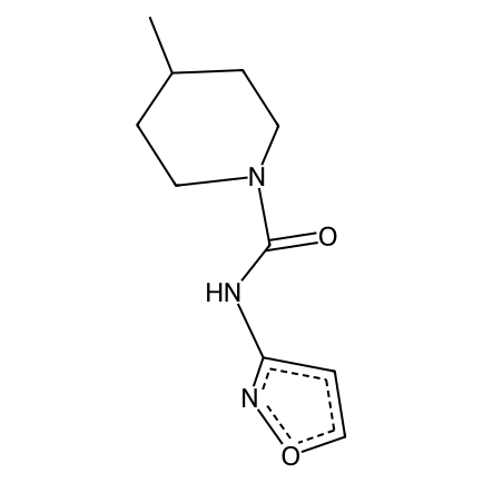 CC1CCN(C(=O)Nc2ccon2)CC1